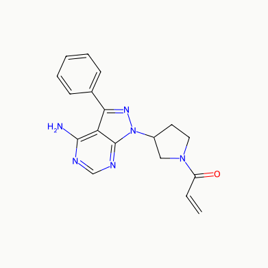 C=CC(=O)N1CCC(n2nc(-c3ccccc3)c3c(N)ncnc32)C1